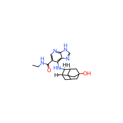 CCNC(=O)c1cnc2[nH]cnc2c1N[C@H]1[C@@H]2CC3C[C@H]1C[C@@](O)(C3)C2